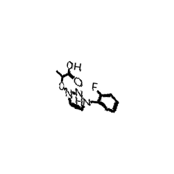 CC(ON1C=CN(c2ccccc2F)N1)C(=O)O